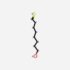 [O]CCCCCCCC=S